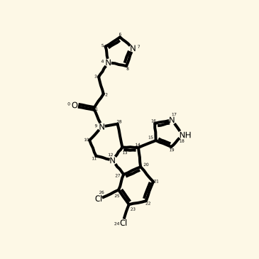 O=C(CCn1ccnc1)N1CCn2c(c(-c3cn[nH]c3)c3ccc(Cl)c(Cl)c32)C1